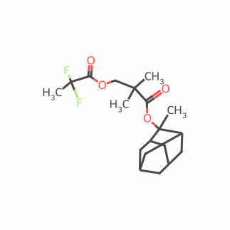 CC(F)(F)C(=O)OCC(C)(C)C(=O)OC1(C)C2CC3CC(C2)CC1C3